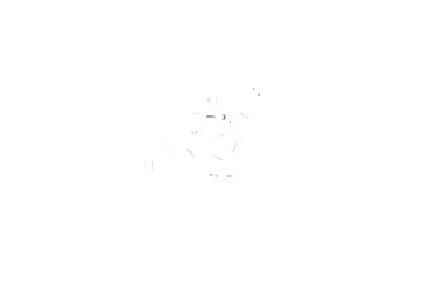 NCC(=O)Nc1ccc(S(=O)(=O)O)c2cc(S(=O)(=O)O)cc(S(=O)(=O)O)c12